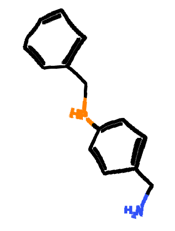 NCc1ccc(PCc2ccccc2)cc1